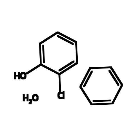 O.Oc1ccccc1Cl.c1ccccc1